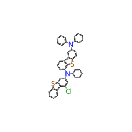 Clc1cc(N(c2ccccc2)c2cccc3c2sc2ccc(N(c4ccccc4)c4ccccc4)cc23)cc2sc3ccccc3c12